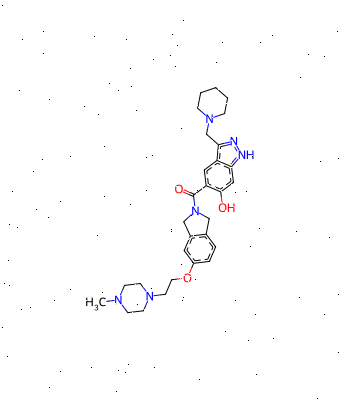 CN1CCN(CCOc2ccc3c(c2)CN(C(=O)c2cc4c(CN5CCCCC5)n[nH]c4cc2O)C3)CC1